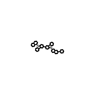 c1ccc(-c2ccc3ccc(-n4c5ccccc5c5cc(-c6ccc7c(c6)c6ccccc6n7-c6cccc7ccccc67)ccc54)cc3c2)cc1